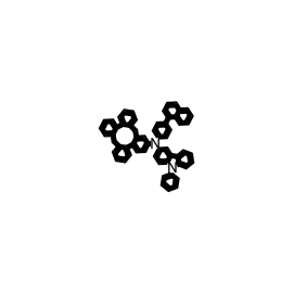 c1ccc(-n2c3ccccc3c3cc(N(c4ccc(-c5cccc6ccccc56)cc4)c4ccc5c(c4)Cc4ccccc4-c4ccccc4Cc4ccccc4-5)ccc32)cc1